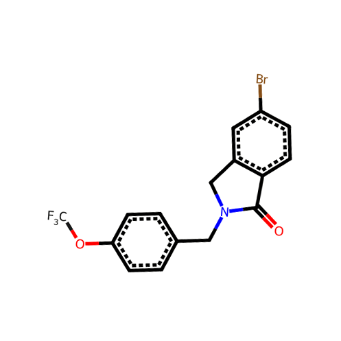 O=C1c2ccc(Br)cc2CN1Cc1ccc(OC(F)(F)F)cc1